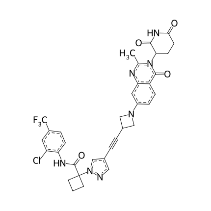 Cc1nc2cc(N3CC(C#Cc4cnn(C5(C(=O)Nc6ccc(C(F)(F)F)cc6Cl)CCC5)c4)C3)ccc2c(=O)n1C1CCC(=O)NC1=O